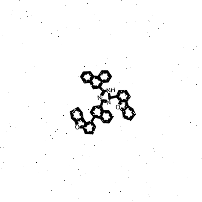 c1ccc2c(c1)cc(C1=NC(c3ccc(-c4cccc5oc6ccccc6c45)c4ccccc34)=NC(c3cccc4c3oc3ccccc34)N1)c1ccccc12